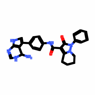 NC1NC=Nc2[nH]cc(-c3ccc(NC(=O)c4c5n(n(-c6ccccc6)c4=O)CCCC5)cc3)c21